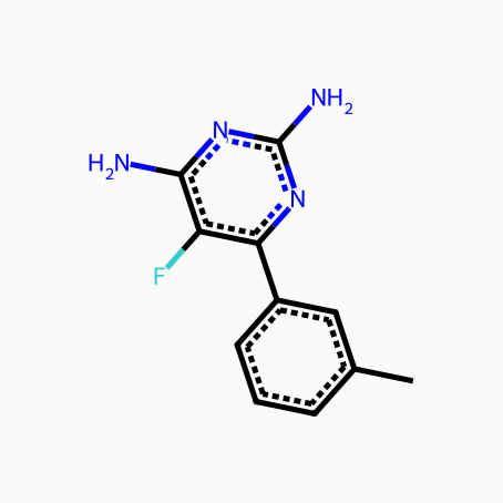 Cc1cccc(-c2nc(N)nc(N)c2F)c1